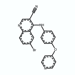 N#Cc1cnc2ccc(Br)cc2c1Nc1ccc(Oc2ccncc2)cc1